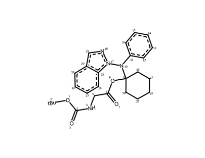 CC(C)(C)OC(=O)NCC(=O)OC1(N(c2ccccc2)n2ncc3ccccc32)CCCCC1